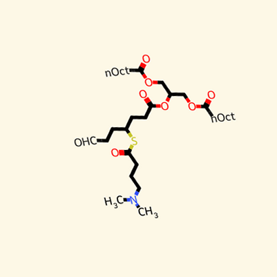 CCCCCCCCC(=O)OCC(COC(=O)CCCCCCCC)OC(=O)CCC(CCC=O)SC(=O)CCCN(C)C